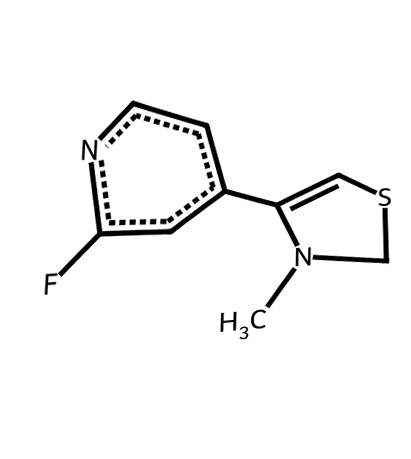 CN1CSC=C1c1ccnc(F)c1